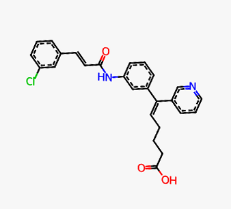 O=C(O)CCC/C=C(\c1cccnc1)c1cccc(NC(=O)/C=C/c2cccc(Cl)c2)c1